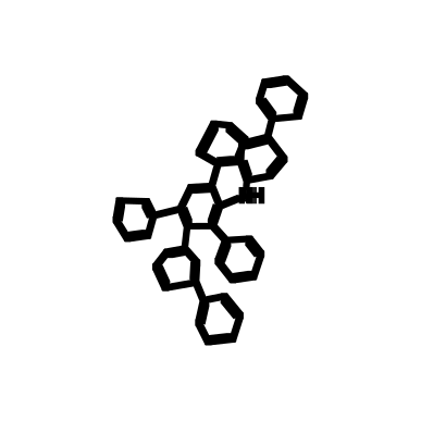 c1ccc(-c2ccc(Nc3c(-c4ccccc4)cc(-c4ccccc4)c(-c4cccc(-c5ccccc5)c4)c3-c3ccccc3)cc2)cc1